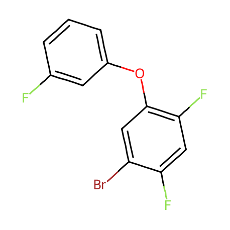 Fc1cccc(Oc2cc(Br)c(F)cc2F)c1